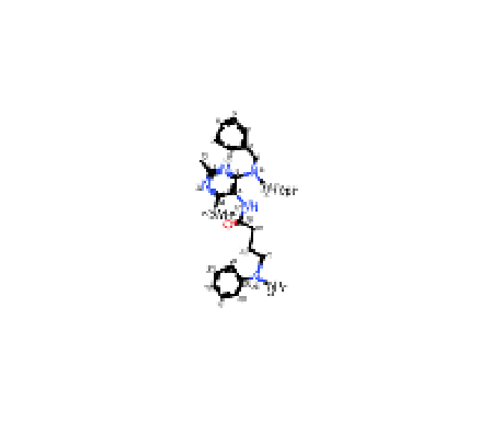 CCCCCCCN(Cc1ccccc1)c1nc(C)nc(SC)c1NC(=O)CCCN(CCC)c1ccccc1